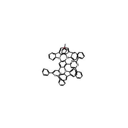 Cc1ccc2c(c1)c1ccccc1n2-c1c(-n2c3ccccc3c3ccccc32)cc(-c2cc(-c3ccccc3)nc(-c3ccccc3)n2)c(-n2c3ccccc3c3ccccc32)c1-c1cc(-c2ccccc2)nc(-c2ccccc2)n1